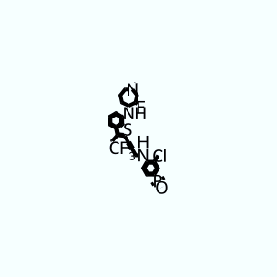 CN1CCCC(Nc2cccc3c(CC(F)(F)F)c(C#CCNc4ccc(P(C)(C)=O)cc4Cl)sc23)C(F)C1